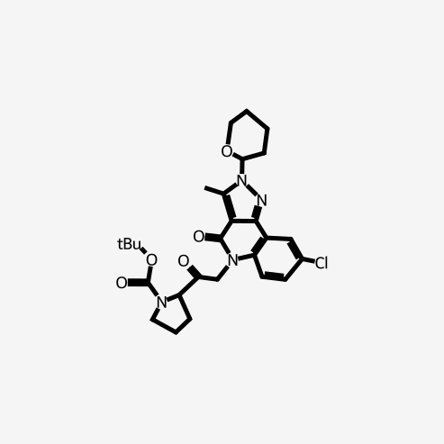 Cc1c2c(=O)n(CC(=O)C3CCCN3C(=O)OC(C)(C)C)c3ccc(Cl)cc3c2nn1C1CCCCO1